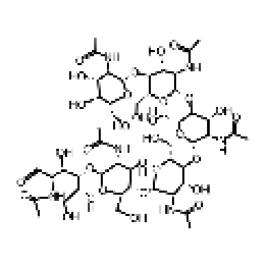 CC(=O)N[C@H]1[C@H](O[C@@H]([C@H](O)[C@H](C=O)NC(C)=O)[C@H](O)CO)O[C@H](CO)[C@@H](O[C@@H]2O[C@H](CO)[C@@H](O[C@@H]3O[C@H](CO)[C@@H](O[C@@H]4O[C@H](CO)[C@@H](O[C@@H]5O[C@H](CO)[C@@H](O)[C@H](O)[C@H]5NC(C)=O)[C@H](O)[C@H]4NC(C)=O)[C@H](O)[C@H]3NC(C)=O)[C@H](O)[C@H]2NC(C)=O)[C@@H]1O